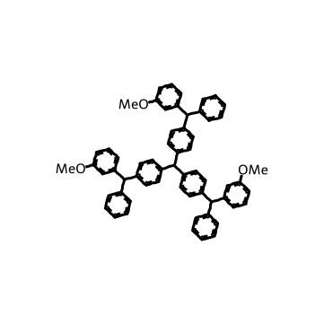 COc1cccc(C(c2ccccc2)c2ccc(C(c3ccc(C(c4ccccc4)c4cccc(OC)c4)cc3)c3ccc(C(c4ccccc4)c4cccc(OC)c4)cc3)cc2)c1